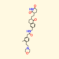 Cc1cc(CC(=O)NCc2ccc3c(c2)CCC(CCC2CCC(=O)NC2=O)C3=O)ccc1CCN1CCOCC1